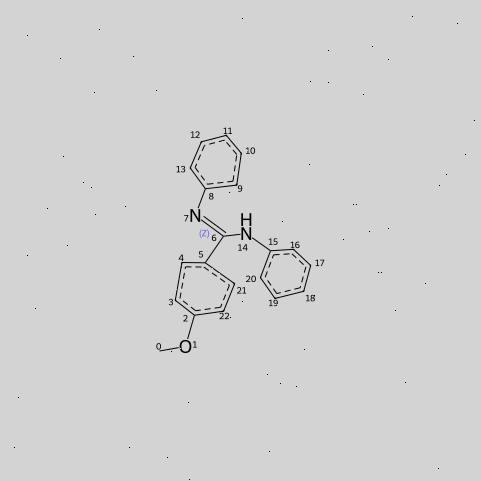 COc1ccc(/C(=N/c2ccccc2)Nc2ccccc2)cc1